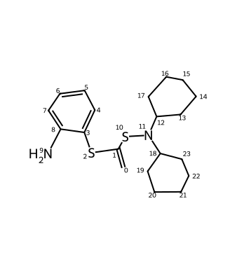 C=C(Sc1ccccc1N)SN(C1CCCCC1)C1CCCCC1